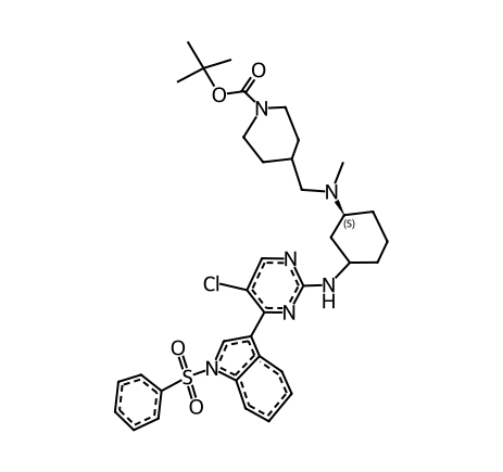 CN(CC1CCN(C(=O)OC(C)(C)C)CC1)[C@H]1CCCC(Nc2ncc(Cl)c(-c3cn(S(=O)(=O)c4ccccc4)c4ccccc34)n2)C1